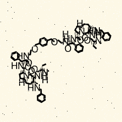 CC[C@H](NC)C(=O)N[C@@H]1C(=O)N2[C@@H](CC[C@@H]1CNCc1ccccc1)CC[C@H]2C(=O)N[C@H](C(=O)NCCOCc1ccc(COCCNC(=O)[C@@H](NC(=O)[C@@H]2CC[C@@H]3CC[C@H](CNCc4ccccc4)[C@H](NC(=O)[C@H](CC)NC)C(=O)N32)c2ccccc2)cc1)c1ccccc1